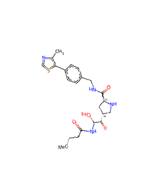 COCCC(=O)NC(O)C(=O)[C@H]1CN[C@H](C(=O)NCc2ccc(-c3scnc3C)cc2)C1